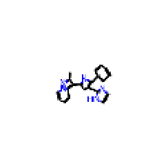 Cc1nn2ccccc2c1C1=NC(c2ccccc2)=C(c2ncc[nH]2)C1